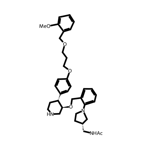 COc1ccccc1COCCCOc1ccc([C@H]2CCNC[C@@H]2OCc2ccccc2N2CC[C@@H](CNC(C)=O)C2)cc1